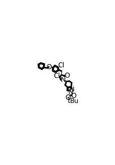 CC(C)(C)OC(=O)n1cc2c(n1)CC[C@H](N1CC[C@@H](Cc3c(Cl)cc(OCc4ccccc4)cc3Cl)C1=O)C2